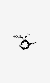 CCCc1ccncc1.CCOS(=O)(=O)O